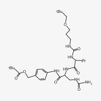 CC(C)C(NC(=O)NCCCOCC(C)(C)C)C(=O)NC(CNC(N)=O)C(=O)Nc1ccc(COC(=O)C(C)(C)C)cc1